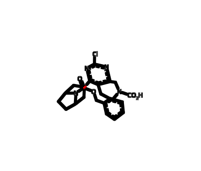 O=C(O)N1CCc2c(nc(Cl)nc2N2CC3CCC(C2)N3C(=O)OCc2ccccc2)C1